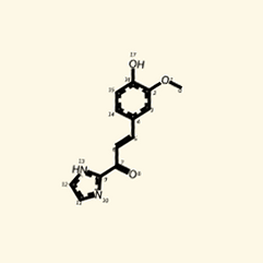 COc1cc(C=CC(=O)c2ncc[nH]2)ccc1O